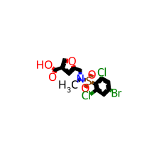 CN(Cc1cc(C(=O)O)co1)S(=O)(=O)c1c(Cl)cc(Br)cc1Cl